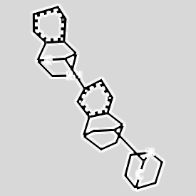 c1ccc2c(c1)C1CNC2C(c2ccc3c(c2)C2CCC3C(C3CC4CCN3CC4)C2)C1